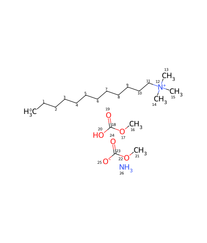 CCCCCCCCCCCC[N+](C)(C)C.COC(=O)O.COC(=O)[O-].N